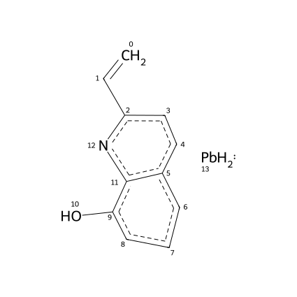 C=Cc1ccc2cccc(O)c2n1.[PbH2]